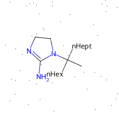 CCCCCCCC(C)(CCCCCC)N1CCN=C1N